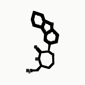 NC[C@@H]1CCS[C@H](c2ccc3oc4ccccc4c3c2)C(=O)N1